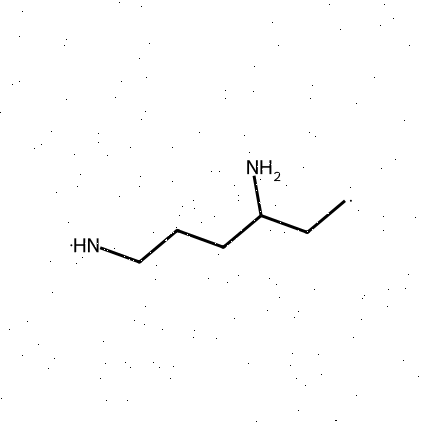 [CH2]CC(N)CCC[NH]